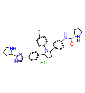 Cl.O=C(Nc1ccc(C2CCC(c3ccc(-c4c[nH]c(C5CCCN5)n4)cc3)N2c2ccc(F)cc2)cc1)[C@@H]1CCCN1